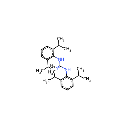 CC(C)c1cccc(C(C)C)c1NC(=N)Nc1c(C(C)C)cccc1C(C)C